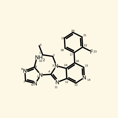 CCCn1c(-n2ncnc2N)nc2cncc(-c3ccccc3F)c21